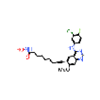 COc1cc2ncnc(Nc3ccc(F)c(Cl)c3)c2cc1C#CCCCCCCC(=O)NO